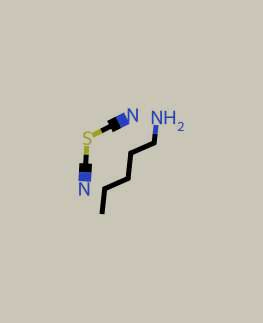 CCCCCN.N#CSC#N